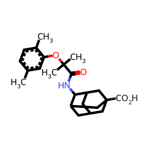 Cc1ccc(C)c(OC(C)(C)C(=O)NC2C3CC4CC2CC(C(=O)O)(C4)C3)c1